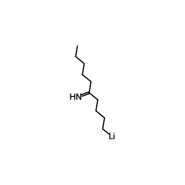 [Li][CH2]CCCC(=N)CCCCC